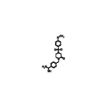 COc1ccc(S(=O)(=O)N2CCN(Cc3ccc(C(=N)N)cc3)C(=O)C2)cc1